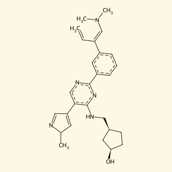 C=C/C(=C\N(C)C)c1cccc(-c2ncc(C3=CC(C)N=C3)c(NC[C@H]3CC[C@@H](O)C3)n2)c1